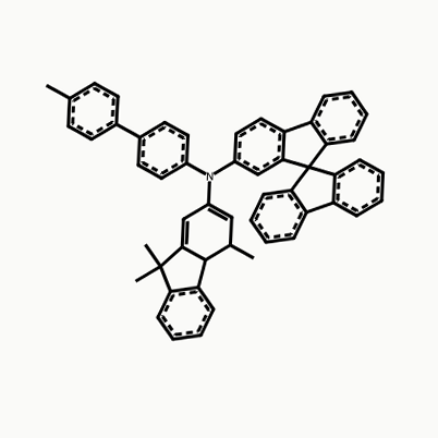 Cc1ccc(-c2ccc(N(C3=CC(C)C4C(=C3)C(C)(C)c3ccccc34)c3ccc4c(c3)C3(c5ccccc5-c5ccccc53)c3ccccc3-4)cc2)cc1